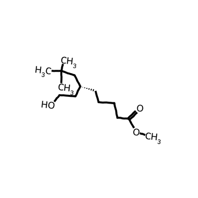 COC(=O)CCCC[C@H](CCO)CC(C)(C)C